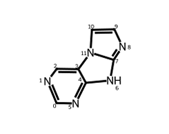 c1ncc2c(n1)[nH]c1nccn12